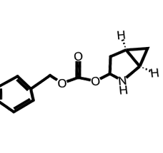 O=C(OCc1ccccc1)OC1C[C@H]2C[C@H]2N1